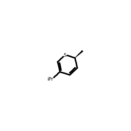 CC(C)C1=CS[C@@H](C)C=C1